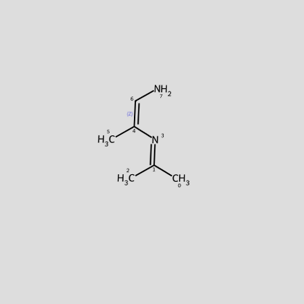 CC(C)=N/C(C)=C\N